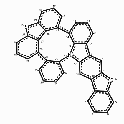 c1ccc2c(c1)sc1cc3c4cccc5c6cccc7sc8cccc(c9ccccc9n(c3cc12)c54)c8c76